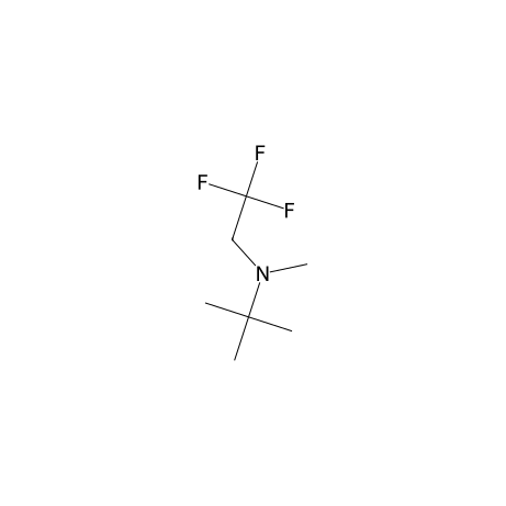 CN(CC(F)(F)F)C(C)(C)C